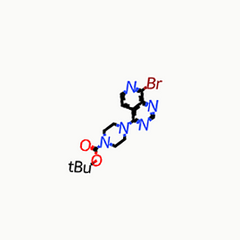 CC(C)(C)OC(=O)N1CCN(c2ncnc3c(Br)nccc23)CC1